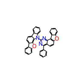 c1ccc(-c2nc(-n3c4ccccc4c4ccc5c6ccccc6oc5c43)nc3c2ccc2oc4ccccc4c23)cc1